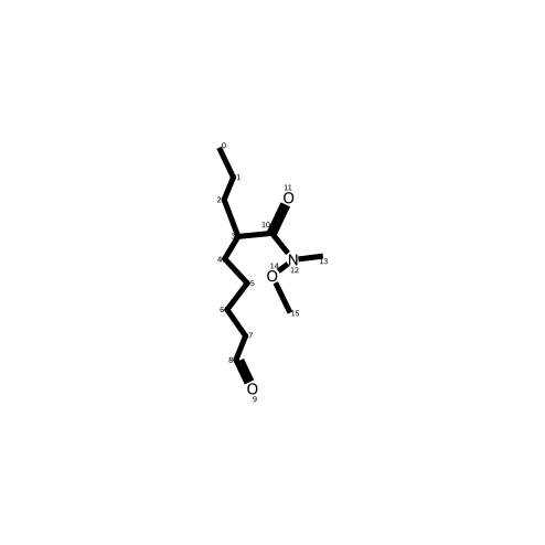 CCCC(CCCCC=O)C(=O)N(C)OC